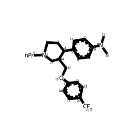 CCCN1CCC(c2ccc(N(C)C)cc2)C(COc2ccc(C(F)(F)F)cc2)C1